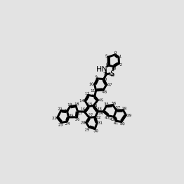 c1ccc2c(c1)NC(c1ccc(-c3ccc4c(-c5ccc6ccccc6c5)c5ccccc5c(-c5ccc6ccccc6c5)c4c3)cc1)S2